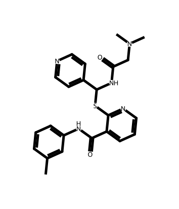 Cc1cccc(NC(=O)c2cccnc2SC(NC(=O)CN(C)C)c2ccncc2)c1